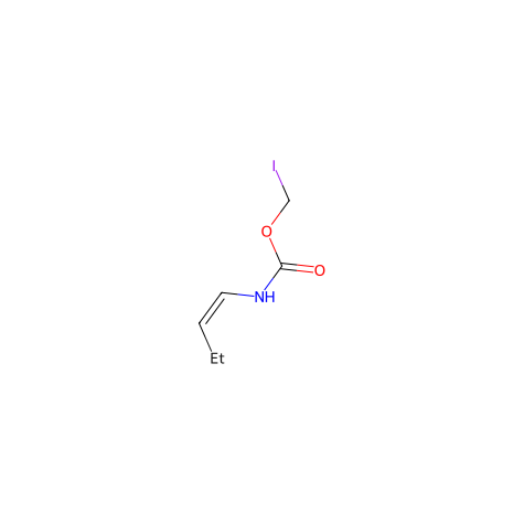 CC/C=C\NC(=O)OCI